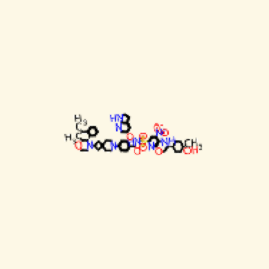 CC(C)c1ccccc1[C@@H]1COCCN1C1CC2(CCN(c3ccc(C(=O)NS(=O)(=O)c4cc([N+](=O)[O-])c5c(n4)OC[C@H](C4CCC(C)(O)CC4)N5)c(Oc4cnc5[nH]ccc5c4)c3)CC2)C1